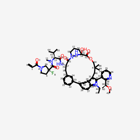 C=CC(=O)N1CC[C@](F)(C(=O)N(C)[C@H](C(=O)N[C@H]2Cc3cccc(c3)-c3ccc4c(c3)c(c(-c3cccnc3[C@H](C)OC)n4CC)CC(C)(C)COC(=O)[C@@]3(O)CCCN(N3)C2=O)C(C)C)C1